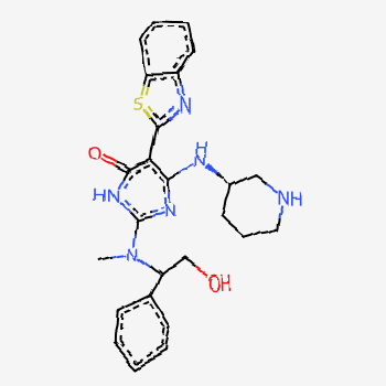 CN(c1nc(N[C@@H]2CCCNC2)c(-c2nc3ccccc3s2)c(=O)[nH]1)C(CO)c1ccccc1